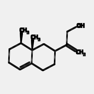 C=C(CO)C1CCC2=CCC[C@@H](C)[C@]2(C)C1